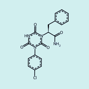 NC(=O)[C@H](Cc1ccccc1)n1c(=O)[nH]c(=O)n(-c2ccc(Cl)cc2)c1=O